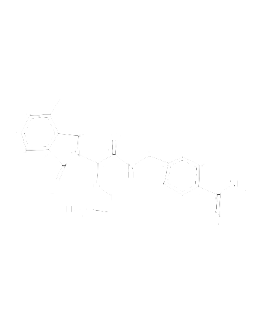 CC(=O)O.CCOC(C(=O)NCc1ccc(C(=N)N)cc1)N1Cc2c(C)cccc2C1=O